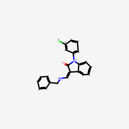 O=C1/C(=C\NCc2ccccc2)c2ccccc2N1c1cccc(Cl)c1